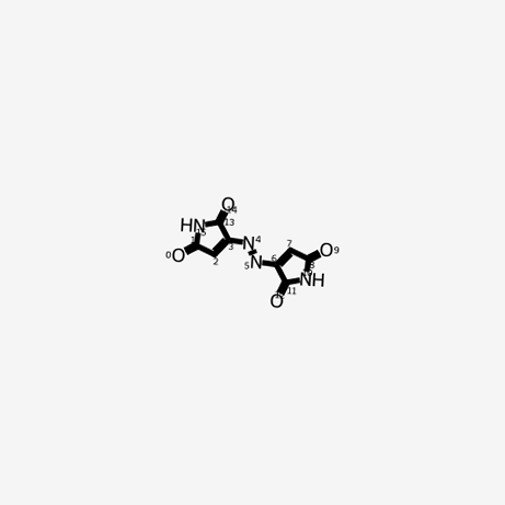 O=C1C=C(N=NC2=CC(=O)NC2=O)C(=O)N1